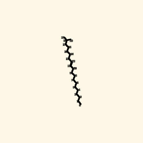 CCCCCCCCCCC/C=C/CCCCCC(C)C